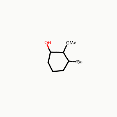 CCC(C)C1CCCC(O)C1OC